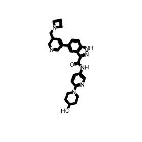 O=C(Nc1ccc(N2CCC(O)CC2)nc1)c1n[nH]c2ccc(C3=CC(CN4CCC4)CN=C3)cc12